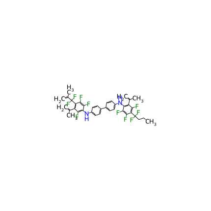 C=C(C)c1c(F)c(C(F)(F)CCC)c(F)c(F)c1Nc1ccc(-c2ccc(Nc3c(F)c(F)c(C(F)(F)C(=C)C)c(C(=C)C)c3F)cc2)cc1